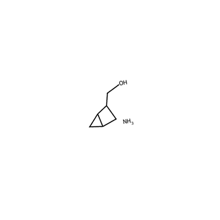 N.OCC1CC2CC12